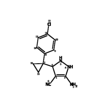 N#CC1=C(N)NNC1C1(c2ccc(Cl)cc2)CC1